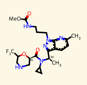 COC(=O)NCCCn1nc([C@@H](C)N(C(=O)[C@H]2CNCC(C(F)(F)F)O2)C2CC2)c2ccc(C)nc21